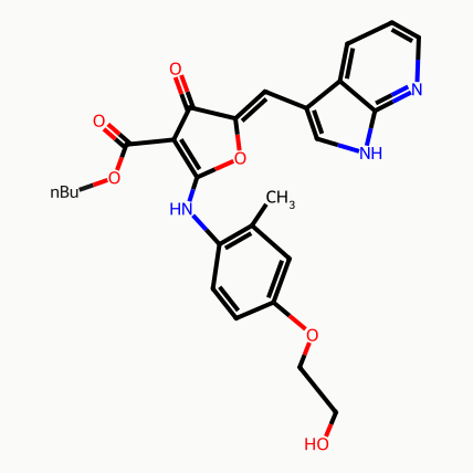 CCCCOC(=O)C1=C(Nc2ccc(OCCO)cc2C)OC(=Cc2c[nH]c3ncccc23)C1=O